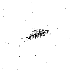 [CH2]C=CC(F)(F)C(F)(F)C(F)(F)C(F)(F)C(F)(F)C(F)(F)F